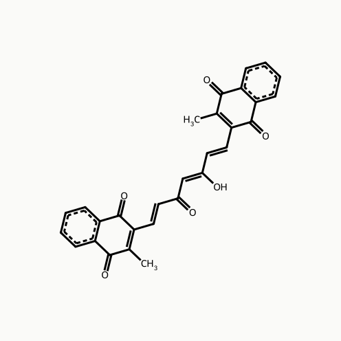 CC1=C(/C=C/C(=O)/C=C(O)/C=C/C2=C(C)C(=O)c3ccccc3C2=O)C(=O)c2ccccc2C1=O